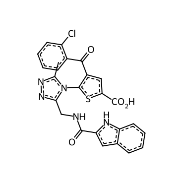 Cc1nnc(CNC(=O)c2cc3ccccc3[nH]2)n1-c1sc(C(=O)O)cc1C(=O)c1ccccc1Cl